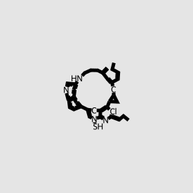 C=C1/C=C(\C=C/CC)CC2CC2\C(C)=C2/CC(=CN(S)/C2=N/C(Cl)=C/CC)c2ccc3ncc(cc3c2)NCCC1